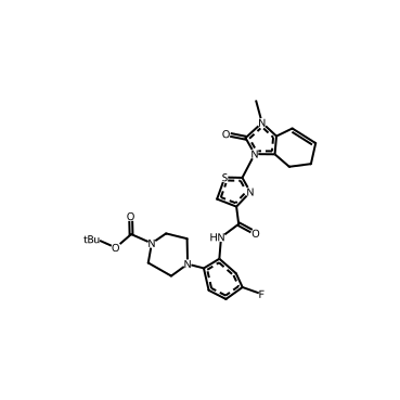 Cn1c2c(n(-c3nc(C(=O)Nc4cc(F)ccc4N4CCN(C(=O)OC(C)(C)C)CC4)cs3)c1=O)CCC=C2